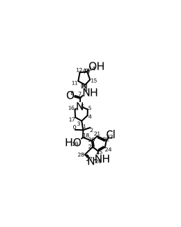 CC(C)(C1CCN(C(=O)N[C@@H]2CC[C@@H](O)C2)CC1)C(O)c1cc(Cl)cc2[nH]ncc12